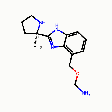 C[C@]1(c2nc3c(COCN)cccc3[nH]2)CCCN1